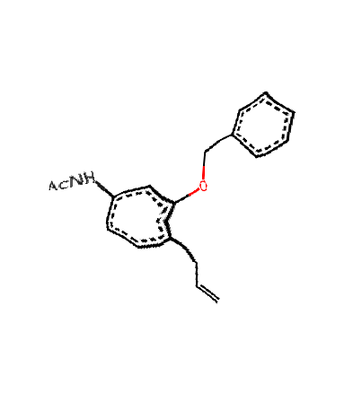 C=CCc1ccc(NC(C)=O)cc1OCc1ccccc1